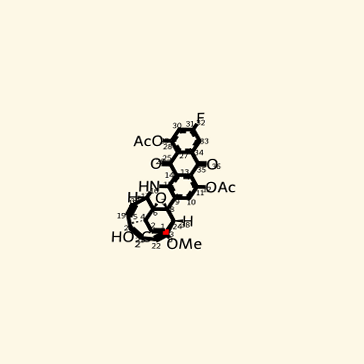 COC1=C(C(=O)O)[C@H](C)[C@@]23O[C@]24c2cc(OC(C)=O)c5c(c2N[C@H]3C#C/C=C\C#C[C@H]14)C(=O)c1c(OC(C)=O)cc(F)cc1C5=O